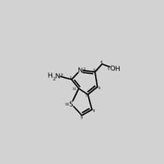 Nc1nc(CO)cc2ccsc12